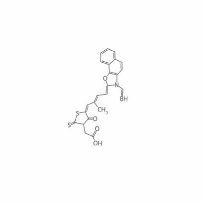 B=CN1/C(=C/C=C(C)/C=C2/SC(=S)C(CC(=O)O)C2=O)Oc2c1ccc1ccccc21